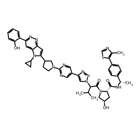 Cc1ncsc1-c1ccc([C@H](C)NC(=O)[C@@H]2C[C@@H](O)CN2C(=O)C(C(C)C)n2cc(-c3cnc(N4CCC(c5cc6nnc(-c7ccccc7O)cc6n5C5CC5)C4)nc3)nn2)cc1